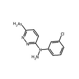 NN(c1cccc(Cl)c1)c1ccc([AsH2])nn1